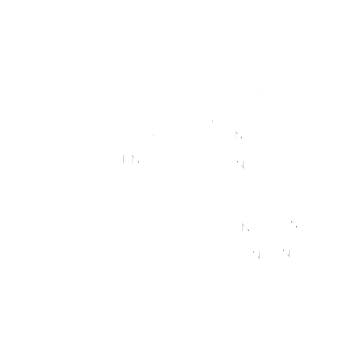 CC1(n2nc(-c3nnn[nH]3)ccc2=O)CCC(N)(c2cccc(Cl)c2)CC1